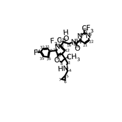 C[C@]1(CNCC2CC2)COc2c1cc([C@@](O)(CNC(=O)c1ccnc(C(F)(F)F)n1)C(F)(F)F)nc2-c1ccc(F)cc1